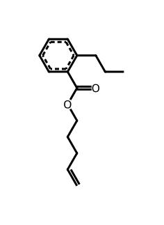 C=CCCCOC(=O)c1ccccc1CCC